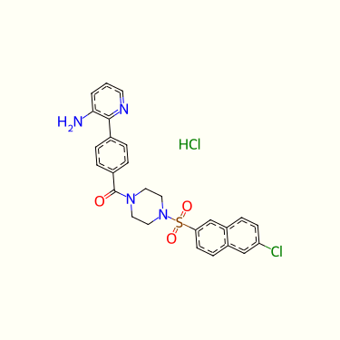 Cl.Nc1cccnc1-c1ccc(C(=O)N2CCN(S(=O)(=O)c3ccc4cc(Cl)ccc4c3)CC2)cc1